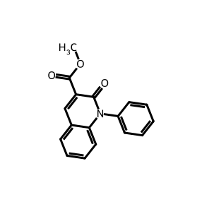 COC(=O)c1cc2ccccc2n(-c2ccccc2)c1=O